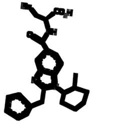 CCC(C)C[C@H](NC(=O)c1ccc2c(c1)nc(Cc1ccccc1)n2C1CCCCC1C)C(=O)O